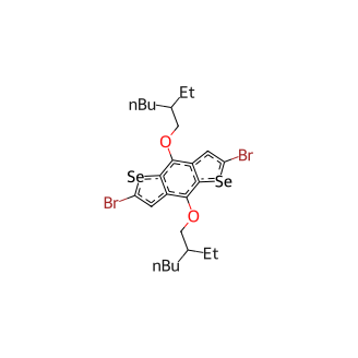 CCCCC(CC)COc1c2cc(Br)[se]c2c(OCC(CC)CCCC)c2cc(Br)[se]c12